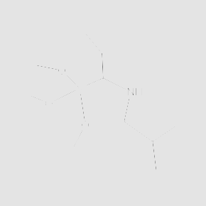 CCC(NCC(C)C)[Si](OC)(OC)OC